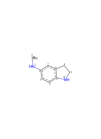 CC(C)(C)Nc1ccc2c(c1)CCN2